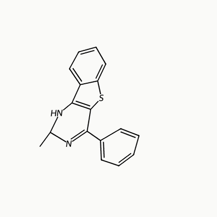 CC1N=C(c2ccccc2)c2sc3ccccc3c2N1